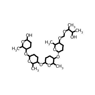 CC(O)C(C)OCOC1CC[C@H](OC2CCC(OC3CCC(OC4CCC(O)OC4C)OC3C)OC2C)OC1C